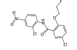 O=C(Nc1ccc([N+](=O)[O-])cc1Cl)c1cc(Cl)ccc1OCCF